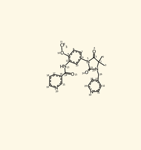 CC1(C)C(=O)N(c2ccc(OC(F)(F)F)c(NC(=O)c3cccnc3)c2)C(=O)N1Cc1ccncc1